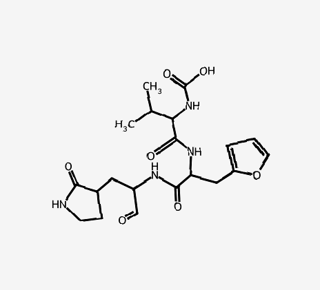 CC(C)C(NC(=O)O)C(=O)NC(Cc1ccco1)C(=O)NC(C=O)CC1CCNC1=O